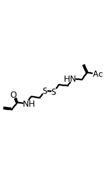 C=CC(=O)NCCSSCCNCC(=C)C(C)=O